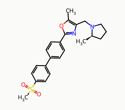 Cc1oc(-c2ccc(-c3ccc(S(C)(=O)=O)cc3)cc2)nc1CN1CCC[C@H]1C